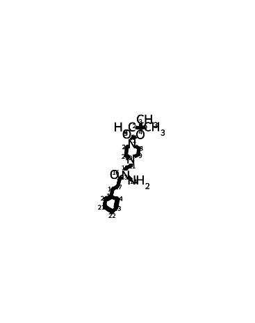 CC(C)(C)OC(=O)N1CCN(CCN(N)C(=O)CCc2ccccc2)CC1